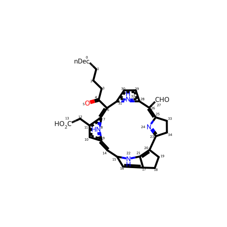 CCCCCCCCCCCCCC(=O)C1=c2[nH]c(cc2CC(=O)O)=CC2C=C3CCC(=C3N2)C2=NC(=C(C=O)c3ccc1[nH]3)CC2